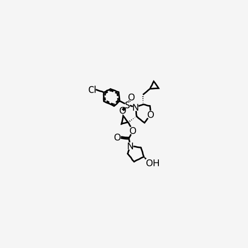 O=C(OC1([C@H]2COC[C@@H](CC3CC3)N2S(=O)(=O)c2ccc(Cl)cc2)CC1)N1CC[C@H](O)C1